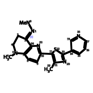 CN/N=C1\CCN(C)c2ccc(-c3sc(-c4cccnc4)nc3C)nc21